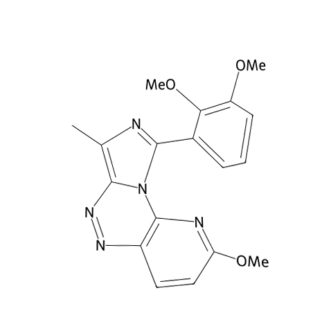 COc1ccc2nnc3c(C)nc(-c4cccc(OC)c4OC)n3c2n1